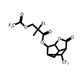 CCC(C)(COC(=O)C(F)(F)F)C(=O)OC1C2CC3C1OC(=O)C3C2C(F)(F)F